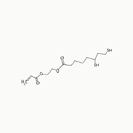 C=CC(=O)OCCOC(=O)CCCCC(S)CCS